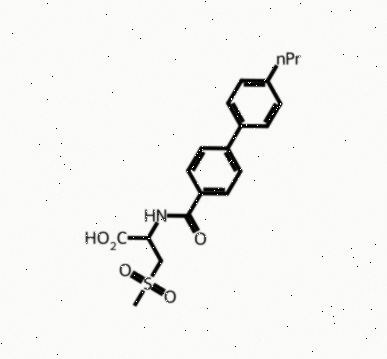 CCCc1ccc(-c2ccc(C(=O)NC(CS(C)(=O)=O)C(=O)O)cc2)cc1